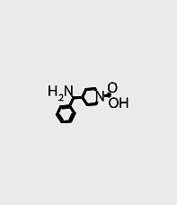 N[C@H](c1ccccc1)C1CCN(C(=O)O)CC1